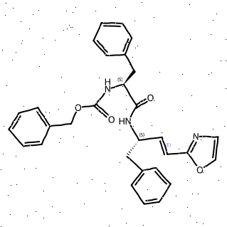 O=C(N[C@@H](Cc1ccccc1)C(=O)N[C@H](/C=C/c1ncco1)Cc1ccccc1)OCc1ccccc1